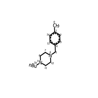 [CH]c1ccc(CN2CCN(CCCC)CC2)cc1